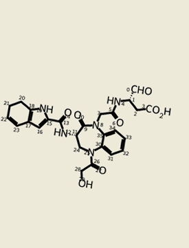 O=C[C@H](CC(=O)O)NC(=O)CN1C(=O)[C@@H](NC(=O)c2cc3c([nH]2)CCC=C3)CN(C(=O)CO)c2ccccc21